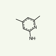 Cc1cc(C)nc([NH])c1